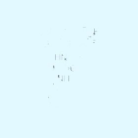 O=C(NCc1ccccc1)C(=O)Nc1ccc(C(F)(F)F)cc1-c1ccccc1